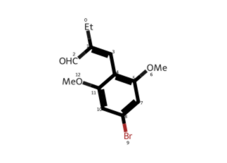 CC/C(C=O)=C/c1c(OC)cc(Br)cc1OC